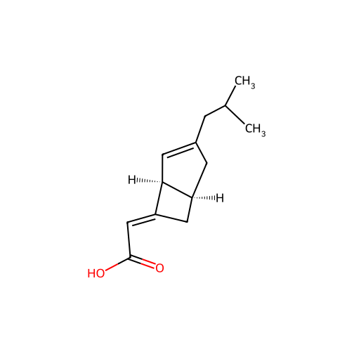 CC(C)CC1=C[C@@H]2C(=CC(=O)O)C[C@@H]2C1